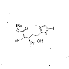 CCCN(C(=O)OC(C)(C)C)[C@@H](C[C@@H](O)c1nc(I)cs1)C(C)C